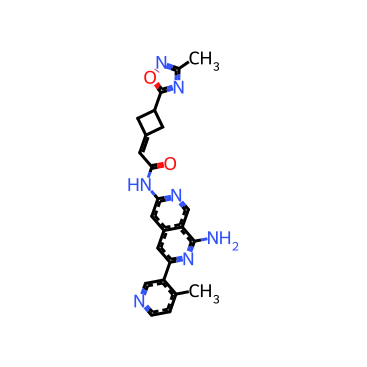 Cc1noc(C2CC(=CC(=O)Nc3cc4cc(-c5cnccc5C)nc(N)c4cn3)C2)n1